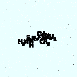 CCC(C)(C)C(C)C=NNC(N)=S